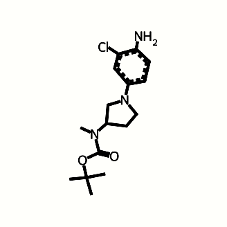 CN(C(=O)OC(C)(C)C)C1CCN(c2ccc(N)c(Cl)c2)C1